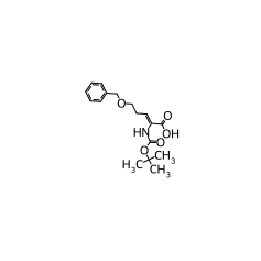 CC(C)(C)OC(=O)N/C(=C\CCOCc1ccccc1)C(=O)O